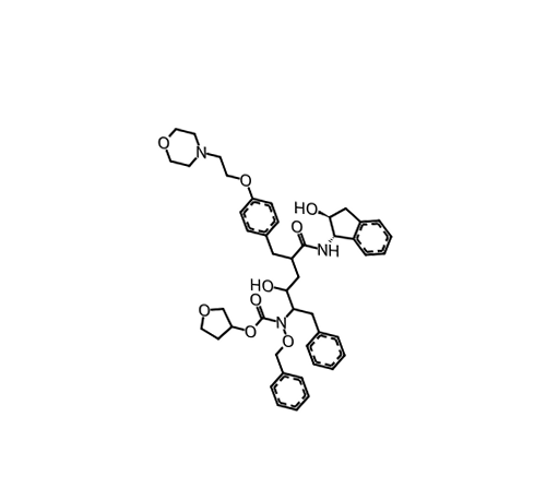 O=C(N[C@H]1c2ccccc2C[C@@H]1O)C(Cc1ccc(OCCN2CCOCC2)cc1)CC(O)C(Cc1ccccc1)N(OCc1ccccc1)C(=O)OC1CCOC1